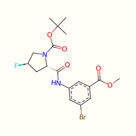 COC(=O)c1cc(Br)cc(NC(=O)[C@@H]2C[C@@H](F)CN2C(=O)OC(C)(C)C)c1